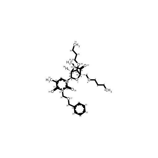 CCCCOC[C@]12O[C@@H](n3cc(C)c(=O)n(COCc4ccccc4)c3=O)[C@H](C1OCCCC)N(C)C2=O